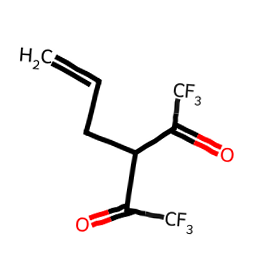 C=CCC(C(=O)C(F)(F)F)C(=O)C(F)(F)F